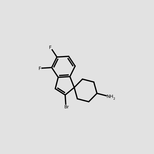 NC1CCC2(CC1)C(Br)=Cc1c2ccc(F)c1F